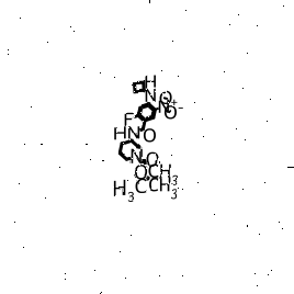 CC(C)(C)OC(=O)N1CCCC(NC(=O)c2cc([N+](=O)[O-])c(NC3CCC3)cc2F)C1